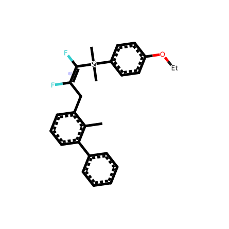 CCOc1ccc([Si](C)(C)/C(F)=C(/F)Cc2cccc(-c3ccccc3)c2C)cc1